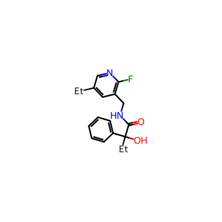 CCc1cnc(F)c(CNC(=O)C(O)(CC)c2ccccc2)c1